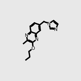 CCCOc1nc2cc(Cn3ccnc3)ccc2nc1C